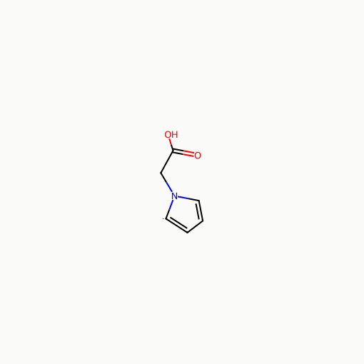 O=C(O)Cn1[c]ccc1